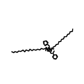 CCCCCCCCCCCCCCCCCCCn1cc(CC(C)c2ccccc2)[n+](CCCCCCCCCCCCCCCC)c1Cc1ccccc1